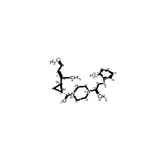 C=C/C=C(\C)[C@@H]1C[C@H]1C(=O)N1CCN(C(=C)CSc2ccccc2C)CC1